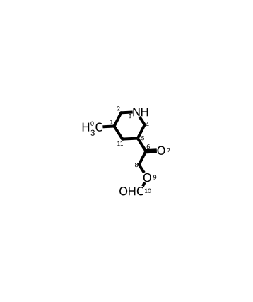 CC1CNCC(C(=O)COC=O)C1